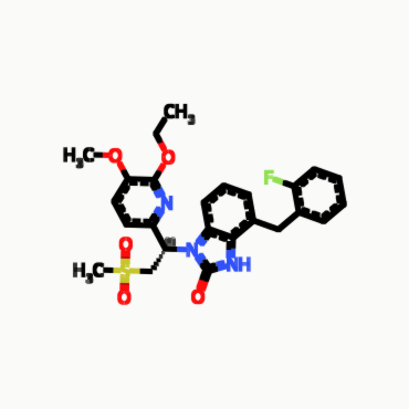 CCOc1nc([C@@H](CS(C)(=O)=O)n2c(=O)[nH]c3c(Cc4ccccc4F)cccc32)ccc1OC